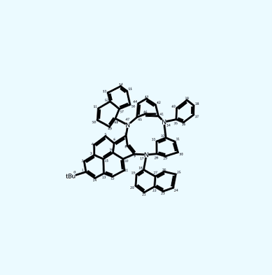 CC(C)(C)c1cc2ccc3c4cc(c5ccc(c1)c2c35)N(c1cccc2ccccc12)c1cccc(c1)N(c1ccccc1)c1cccc(c1)N4c1cccc2ccccc12